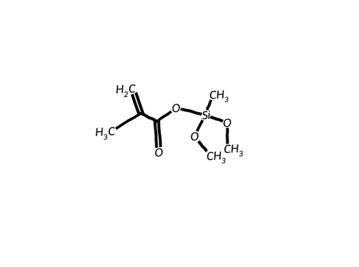 C=C(C)C(=O)O[Si](C)(OC)OC